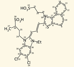 CCN1/C(=C\C=C\c2sc3ccc4ccccc4c3[n+]2CCCS(=O)(=O)O)N(CCC(C)S(=O)(=O)O)c2cc(Cl)c(Cl)cc21